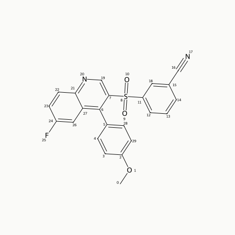 COc1ccc(-c2c(S(=O)(=O)c3cccc(C#N)c3)cnc3ccc(F)cc23)cc1